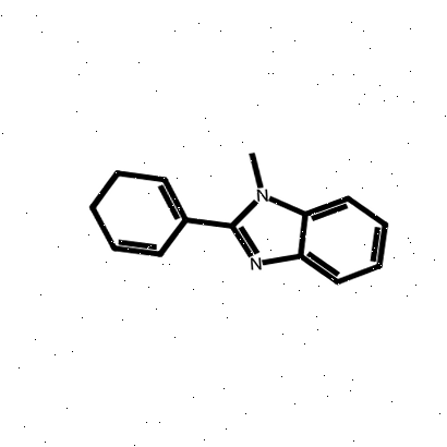 Cn1c(C2=CCCC=C2)nc2ccccc21